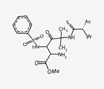 COC(=O)C(N)C(NS(=O)(=O)c1ccccc1)C(=O)C(C)(C)NC(=S)[C@H](C(C)=O)C(C)C